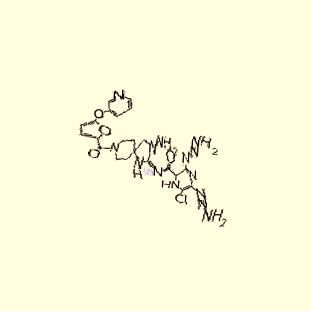 NN=NC1=NC(N=NN)=C(Cl)NC1C(=O)/N=C1/NC2(CCN(C(=O)c3ccc(Oc4cccnc4)o3)CC2)CN1N